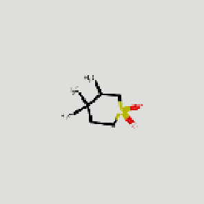 CC1CS(=O)(=O)CCC1(C)C